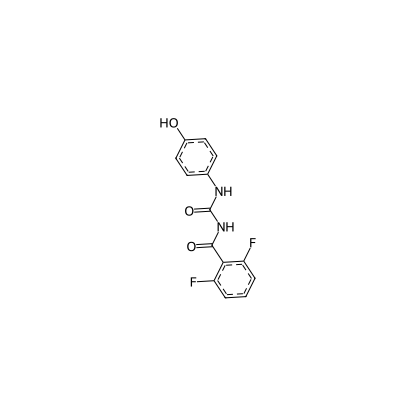 O=C(NC(=O)c1c(F)cccc1F)Nc1ccc(O)cc1